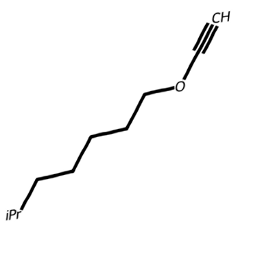 C#COCCCCCC(C)C